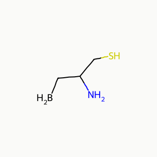 BCC(N)CS